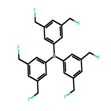 FCc1cc(CF)cc(B(c2cc(CF)cc(CF)c2)c2cc(CF)cc(CF)c2)c1